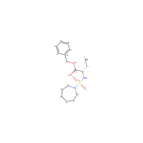 CC(C)C[C@H](NS(=O)(=O)N1CCCCCC1)C(=O)OCc1ccccc1